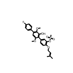 COc1cc(-c2ccc(F)cc2)c(OC)c(O)c1-c1ccc(OCC=C(C)C)c(OS(C)(=O)=O)c1